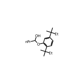 CCCC(O)Oc1cc(C(C)(C)CC)ccc1C(C)(C)CC